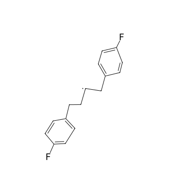 Fc1ccc(C[CH]CCc2ccc(F)cc2)cc1